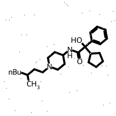 CCCCC(C)CCN1CCC(NC(=O)C(O)(c2ccccc2)C2CCCC2)CC1